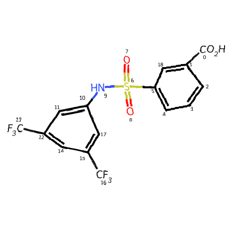 O=C(O)c1cccc(S(=O)(=O)Nc2cc(C(F)(F)F)cc(C(F)(F)F)c2)c1